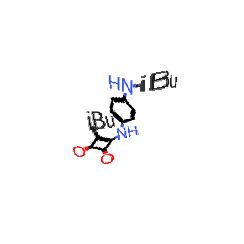 CCC(C)Nc1ccc(Nc2c(C(C)CC)c(=O)c2=O)cc1